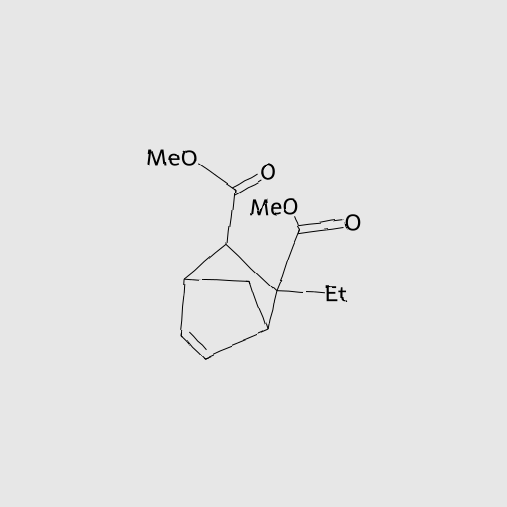 CCC1(C(=O)OC)C2C=CC(C2)C1C(=O)OC